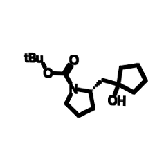 CC(C)(C)OC(=O)N1CCC[C@H]1CC1(O)CCCC1